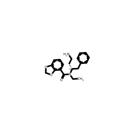 CCN(C(=O)c1cccc2c1OCO2)[C@H](CCN)Cc1ccccc1